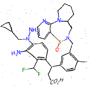 Cc1ccc(C(CC(=O)O)c2ccc(N(N)CC3CC3)c(N)c2C(F)F)cc1CN1CC2CCCCN2c2ncccc2[S+]1[O-]